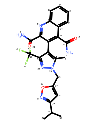 Cc1c(-c2c(C(N)=O)nc3ccccc3c2C(N)=O)c(C(F)(F)F)nn1Cc1cc(C(C)C)no1